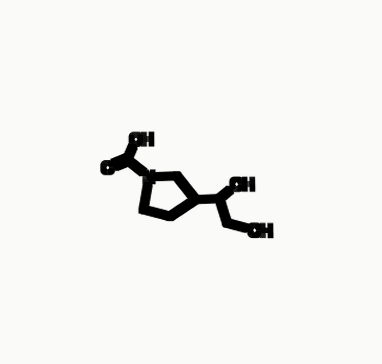 O=C(O)N1CCC(C(O)CO)C1